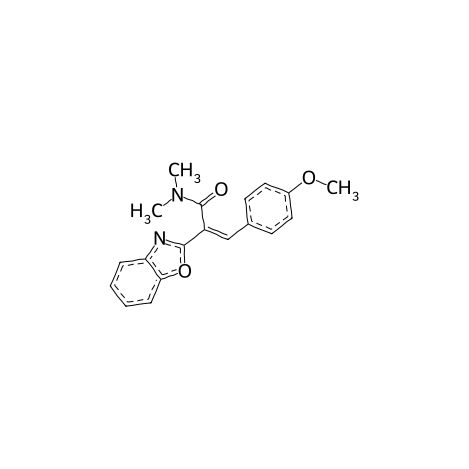 COc1ccc(/C=C(\C(=O)N(C)C)c2nc3ccccc3o2)cc1